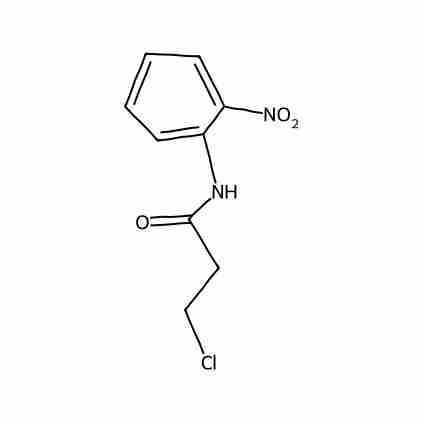 O=C(CCCl)Nc1ccccc1[N+](=O)[O-]